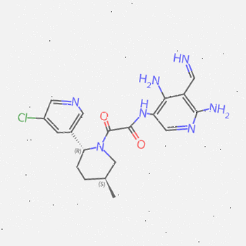 C[C@H]1CC[C@H](c2cncc(Cl)c2)N(C(=O)C(=O)Nc2cnc(N)c(C=N)c2N)C1